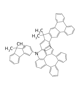 CC1(C)c2ccccc2-c2cc(N(c3ccc4c(c3)C(C)(C)c3cc5c6ccccc6c6ccccc6c5cc3-4)c3cccc4c3-c3ccccc3-c3ccccc3-c3ccccc3-4)ccc21